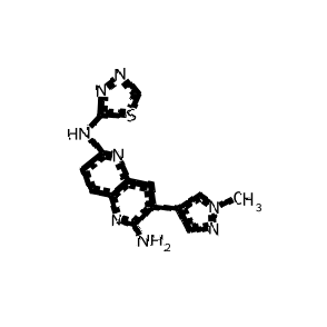 Cn1cc(-c2cc3nc(Nc4nncs4)ccc3nc2N)cn1